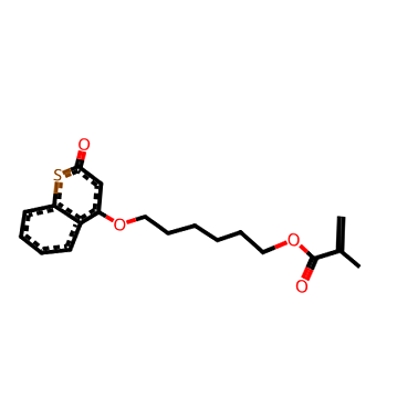 C=C(C)C(=O)OCCCCCCOc1cc(=O)sc2ccccc12